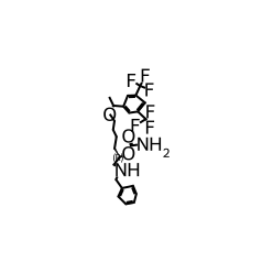 CC(OCCCC[C@H](CNCc1ccccc1)OC(N)=O)c1cc(C(F)(F)F)cc(C(F)(F)F)c1